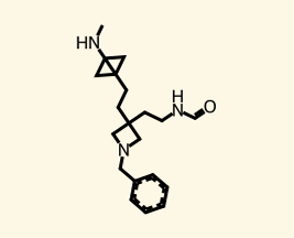 CNC12CC1(CCC1(CCNC=O)CN(Cc3ccccc3)C1)C2